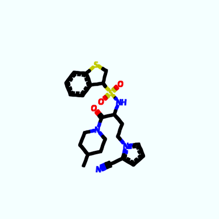 CC1CCN(C(=O)C(CCn2cccc2C#N)NS(=O)(=O)C2CSc3ccccc32)CC1